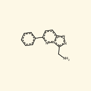 NCc1nnc2ccc(-c3ccccc3)nn12